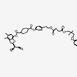 C=CC(=O)OCC(C)(C)COC(=O)CCC(=O)OCCc1ccc(OC(=O)C2CCC(C(=O)Oc3cc(C)c(C)c4c3SC(=C(C#N)C#N)S4)CC2)cc1